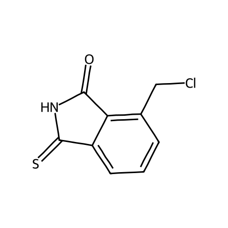 O=C1NC(=S)c2cccc(CCl)c21